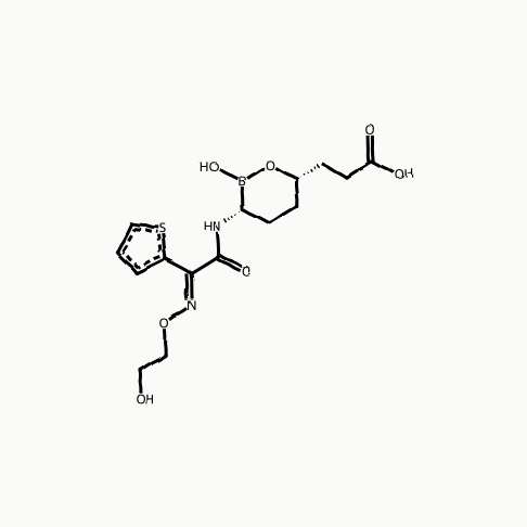 O=C(O)CC[C@@H]1CC[C@H](NC(=O)/C(=N/OCCO)c2cccs2)B(O)O1